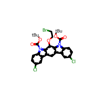 CC(C)(C)OC(=O)n1c2ccc(Cl)cc2c2cc3c4cc(Cl)ccc4n(C(=O)OC(C)(C)C)c3c(OCCBr)c21